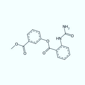 COC(=O)c1cccc(OC(=O)c2ccccc2NC(N)=O)c1